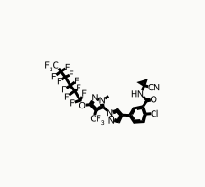 Cn1nc(OC(F)(F)C(F)(F)C(F)(F)C(F)(F)C(F)(F)C(F)(F)F)c(C(F)(F)F)c1-n1cc(-c2ccc(Cl)c(C(=O)NC3(C#N)CC3)c2)cn1